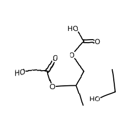 CC(COC(=O)O)OC(=O)O.CCO